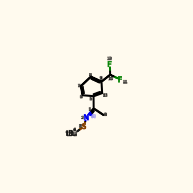 C/C(=N\SC(C)(C)C)c1cccc(C(F)F)c1